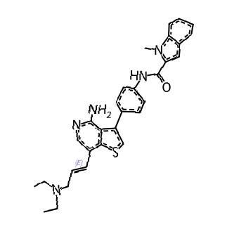 CCN(CC)C/C=C/c1cnc(N)c2c(-c3ccc(NC(=O)c4cc5ccccc5n4C)cc3)csc12